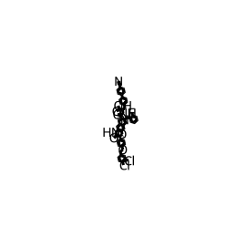 N#Cc1ccc(-c2ccc(CC(NC(=O)[C@@H]3Cc4cc5c(cc4CN3Cc3ccccc3F)O[C@@H](c3ccc(OCc4ccc(Cl)c(Cl)c4)cc3)C(=O)N5)C(=O)O)cc2)cc1